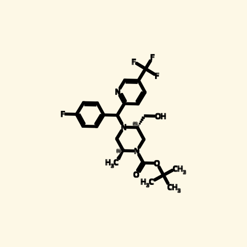 C[C@H]1CN(C(c2ccc(F)cc2)c2ccc(C(F)(F)F)cn2)[C@H](CO)CN1C(=O)OC(C)(C)C